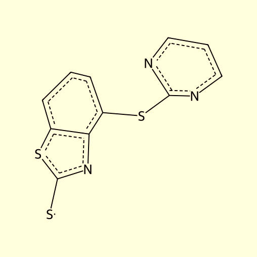 [S]c1nc2c(Sc3ncccn3)cccc2s1